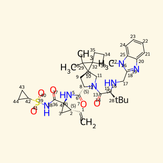 C=C[C@@H]1C[C@]1(NC(=O)[C@@H]1C[C@@]2(CN1C(=O)[C@@H](NCc1nc3ccccc3n1C)C(C)(C)C)C(C)(C)C21CCC1)C(=O)NS(=O)(=O)C1CC1